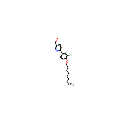 CCCCCCCCOc1ccc(-c2ccc(C=O)cn2)cc1Cl